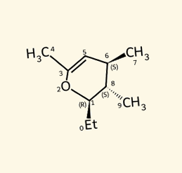 CC[C@H]1OC(C)=C[C@@H](C)[C@@H]1C